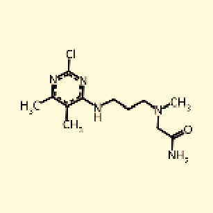 Cc1nc(Cl)nc(NCCCN(C)CC(N)=O)c1C